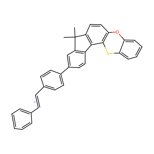 CC1(C)c2cc(-c3ccc(/C=C/c4ccccc4)cc3)ccc2-c2c1ccc1c2Sc2ccccc2O1